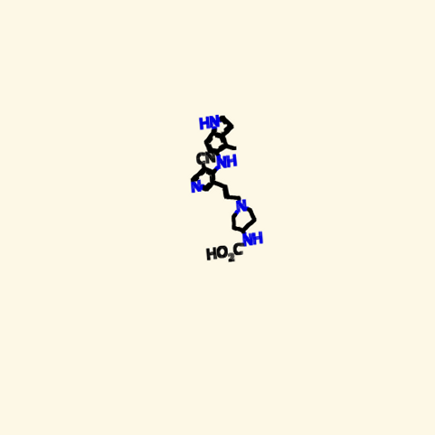 Cc1c(Nc2c(C#N)cncc2/C=C/CN2CCC(NC(=O)O)CC2)ccc2[nH]ccc12